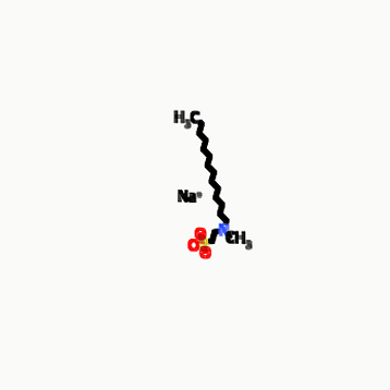 CCCCCCCCCCCCCCN(C)CCS(=O)(=O)[O-].[Na+]